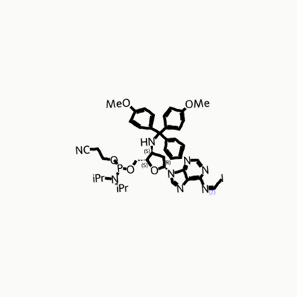 COc1ccc(C(N[C@H]2C[C@H](n3cnc4c(/N=C\I)ncnc43)O[C@@H]2COP(OCCC#N)N(C(C)C)C(C)C)(c2ccccc2)c2ccc(OC)cc2)cc1